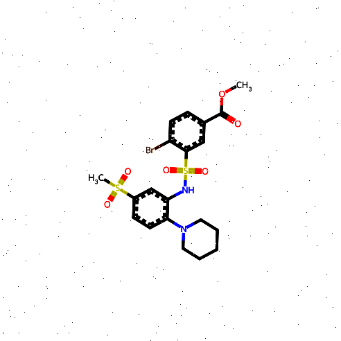 COC(=O)c1ccc(Br)c(S(=O)(=O)Nc2cc(S(C)(=O)=O)ccc2N2CCCCC2)c1